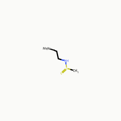 CNCCNS(C)=S